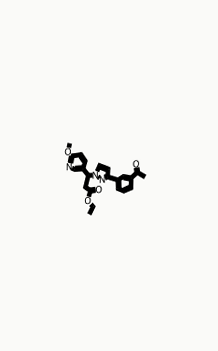 CCOC(=O)CC(c1ccc(OC)nc1)n1ccc(-c2cccc(C(C)=O)c2)n1